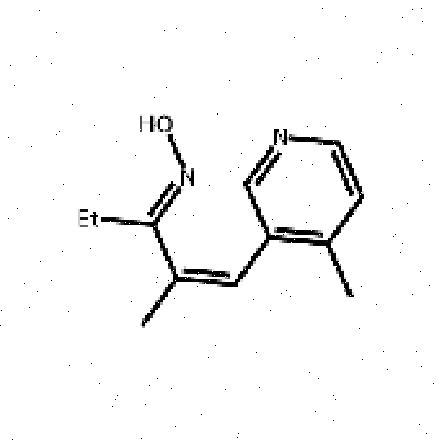 CCC(=NO)C(C)=Cc1cnccc1C